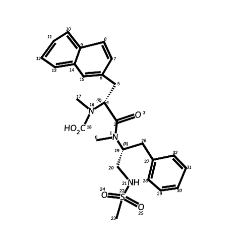 CN(C(=O)[C@@H](Cc1ccc2ccccc2c1)N(C)C(=O)O)[C@@H](CNS(C)(=O)=O)Cc1ccccc1